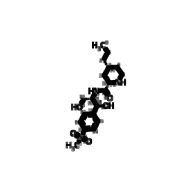 CCC[C@@H]1CCN[C@H](C(=O)N[C@@H](CO)[C@@H](O)c2ccc(S(C)(=O)=O)cc2)C1